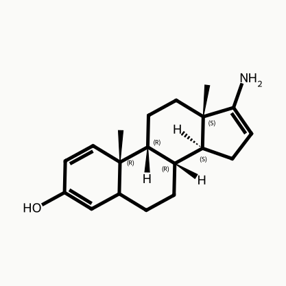 C[C@]12C=CC(O)=CC1CC[C@@H]1[C@H]2CC[C@]2(C)C(N)=CC[C@@H]12